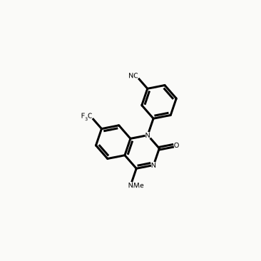 CNc1nc(=O)n(-c2cccc(C#N)c2)c2cc(C(F)(F)F)ccc12